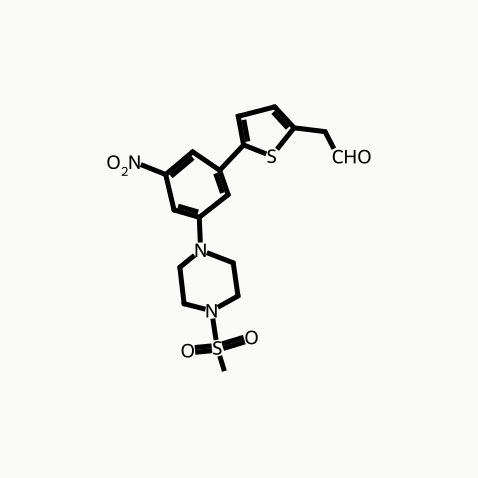 CS(=O)(=O)N1CCN(c2cc(-c3ccc(CC=O)s3)cc([N+](=O)[O-])c2)CC1